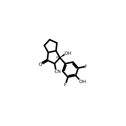 N#CC1C(=O)C2CCCC2[C@]1(O)c1cc(F)c(O)c(F)c1